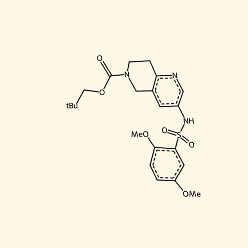 COc1ccc(OC)c(S(=O)(=O)Nc2cnc3c(c2)CN(C(=O)OCC(C)(C)C)CC3)c1